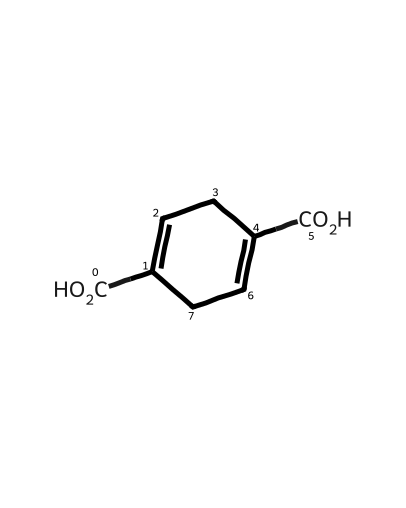 O=C(O)C1=CCC(C(=O)O)=CC1